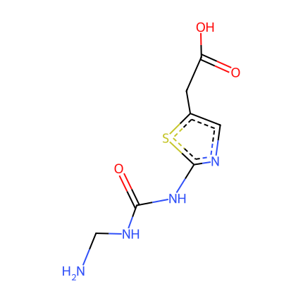 NCNC(=O)Nc1ncc(CC(=O)O)s1